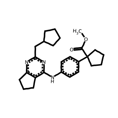 COC(=O)C1(c2ccc(Nc3nc(CC4CCCC4)nc4c3CCC4)cc2)CCCC1